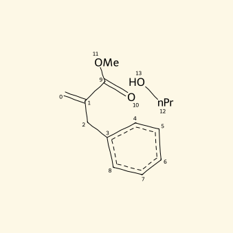 C=C(Cc1ccccc1)C(=O)OC.CCCO